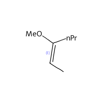 C/C=C(\CCC)OC